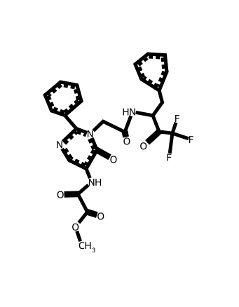 COC(=O)C(=O)Nc1cnc(-c2ccccc2)n(CC(=O)NC(Cc2ccccc2)C(=O)C(F)(F)F)c1=O